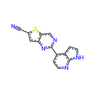 N#Cc1cc2nc(-c3ccnc4[nH]ccc34)ncc2s1